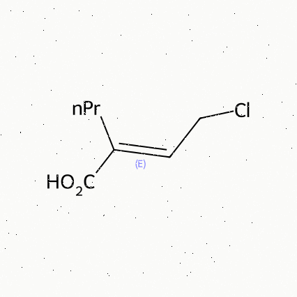 CCC/C(=C\CCl)C(=O)O